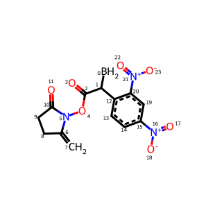 BC(C(=O)ON1C(=C)CCC1=O)c1ccc([N+](=O)[O-])cc1[N+](=O)[O-]